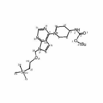 CC(C)(C)OC(=O)NC1CCN(c2ncnc3c2ccn3COCC[Si](C)(C)C)CC1